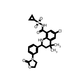 CC1(C)CC(c2cccc(N3CCOC3=O)c2)Nc2c(C(=O)NS(=O)(=O)C3CC3)cc(Cl)cc21